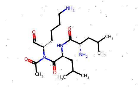 CC(=O)N(C(=O)[C@H](CC(C)C)NC(=O)[C@@H](N)CC(C)C)[C@H](C=O)CCCCN